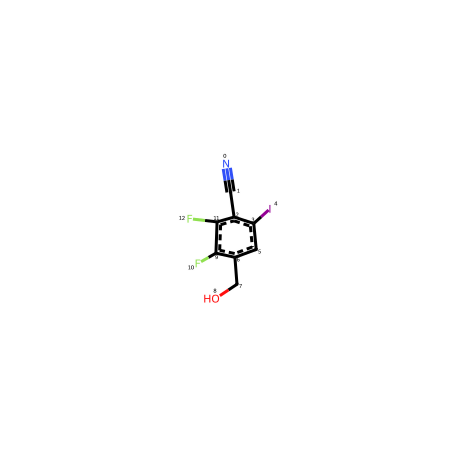 N#Cc1c(I)cc(CO)c(F)c1F